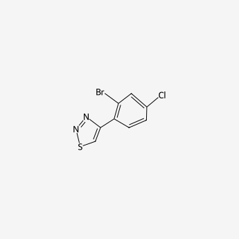 Clc1ccc(-c2csnn2)c(Br)c1